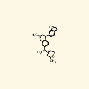 CC1CN(C(C)c2ccc3c(c2)CN(C)CC3c2ccc3cc[nH]c3c2)CCO1